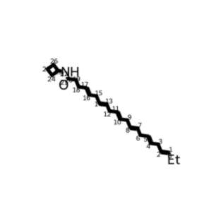 CCC=CCC=CCC=CCC=CCC=CCC=CCCC(=O)NC1CCC1